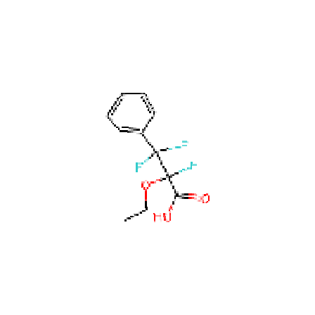 CCOC(F)(C(=O)O)C(F)(F)c1ccccc1